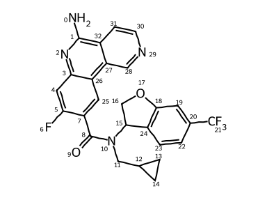 Nc1nc2cc(F)c(C(=O)N(CC3CC3)C3COc4cc(C(F)(F)F)ccc43)cc2c2cnccc12